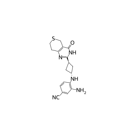 N#Cc1ccc(N[C@H]2C[C@H](c3nc4c(c(=O)[nH]3)CSCC4)C2)c(N)c1